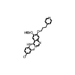 COc1cc2c(Nc3ccc(Cl)cc3F)ncnc2cc1OCCCc1ccncc1.Cl